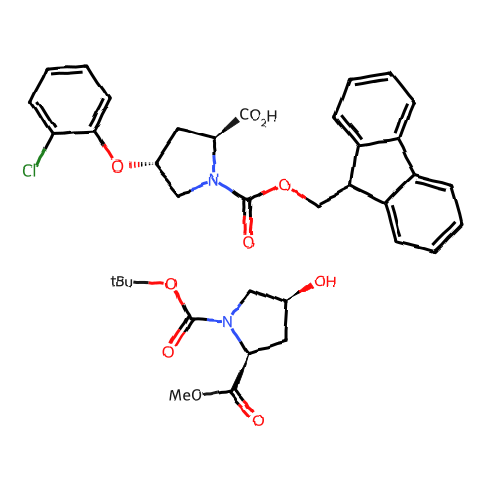 COC(=O)[C@@H]1C[C@H](O)CN1C(=O)OC(C)(C)C.O=C(O)[C@@H]1C[C@@H](Oc2ccccc2Cl)CN1C(=O)OCC1c2ccccc2-c2ccccc21